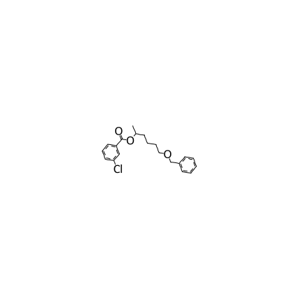 CC(CCCCOCc1ccccc1)OC(=O)c1cccc(Cl)c1